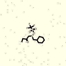 CCC(=O)C[S+](CC1CCCCC1)OS(=O)(=O)C(F)(F)F